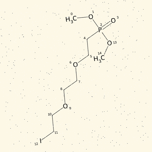 COP(=O)(CCOCCOCCI)OC